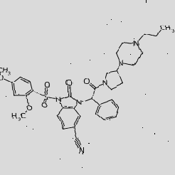 CCCN1CCN(C2CCN(C(=O)C(c3ccccc3)n3c(=O)n(S(=O)(=O)c4ccc(OC)cc4OC)c4ccc(C#N)cc43)C2)CC1